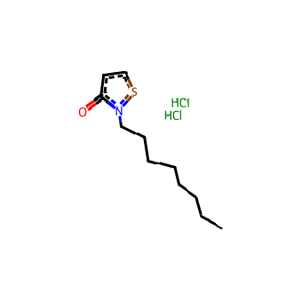 CCCCCCCCn1sccc1=O.Cl.Cl